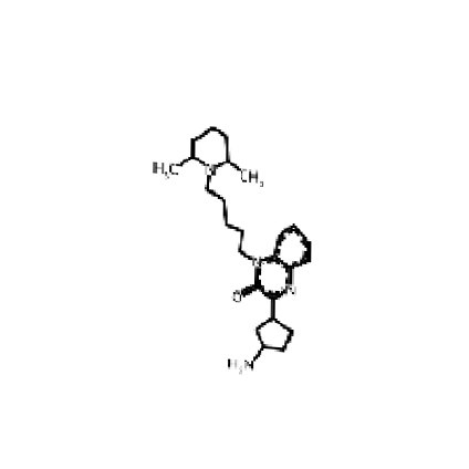 CC1CCCC(C)N1CCCCCn1c(=O)c(C2CCC(N)C2)nc2ccccc21